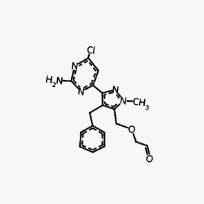 Cn1nc(-c2cc(Cl)nc(N)n2)c(Cc2ccccc2)c1COCC=O